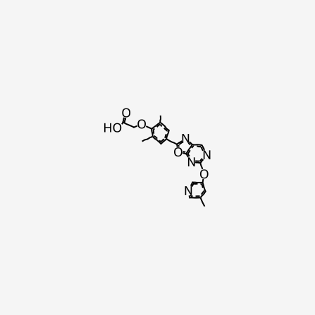 Cc1cncc(Oc2ncc3nc(-c4cc(C)c(OCC(=O)O)c(C)c4)oc3n2)c1